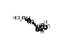 O=C(O)NCc1ccc(OCCCNc2cccc3c2C(=O)N(C2CCC(=O)NC2=O)C3=O)nc1